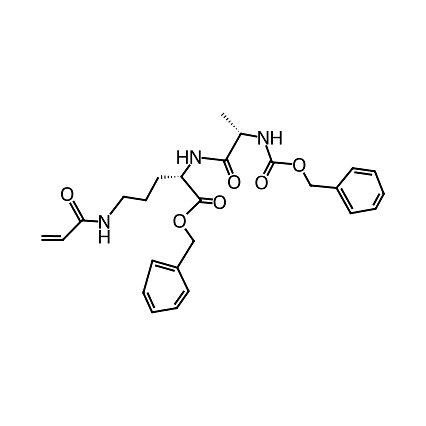 C=CC(=O)NCCC[C@H](NC(=O)[C@H](C)NC(=O)OCc1ccccc1)C(=O)OCc1ccccc1